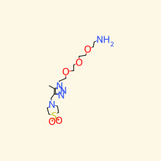 Cc1c(CN2CCS(=O)(=O)CC2)nnn1CCOCCOCCOCCN